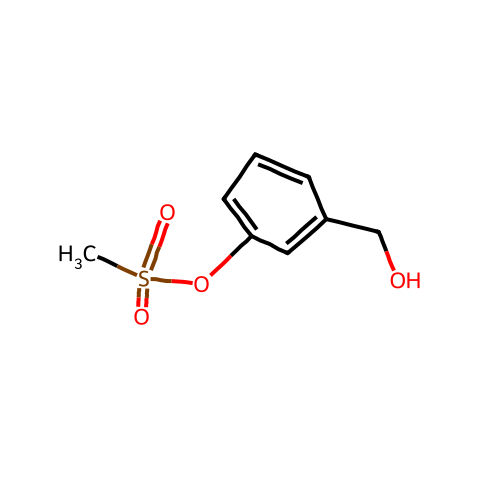 CS(=O)(=O)Oc1cccc(CO)c1